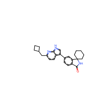 O=C1NC2(CCCCC2)c2cc(-c3c[nH]c4nc(CC5CCC5)ccc34)ccc21